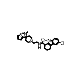 CN(C)C1(c2cccs2)CCN(CCNC(=O)C2CCCc3c2[nH]c2ccc(Cl)cc32)CC1